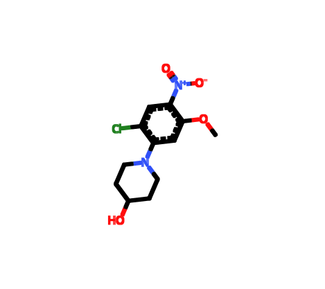 COc1cc(N2CCC(O)CC2)c(Cl)cc1[N+](=O)[O-]